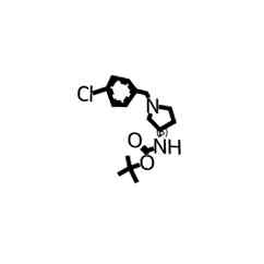 CC(C)(C)OC(=O)N[C@H]1CCN(Cc2ccc(Cl)cc2)C1